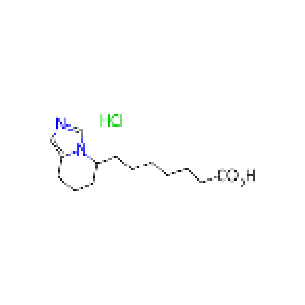 Cl.O=C(O)CCCCCCC1CCCc2cncn21